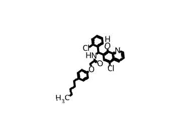 CCCCCc1ccc(OCC(=O)NC(c2ccccc2Cl)c2cc(Cl)c3cccnc3c2O)cc1